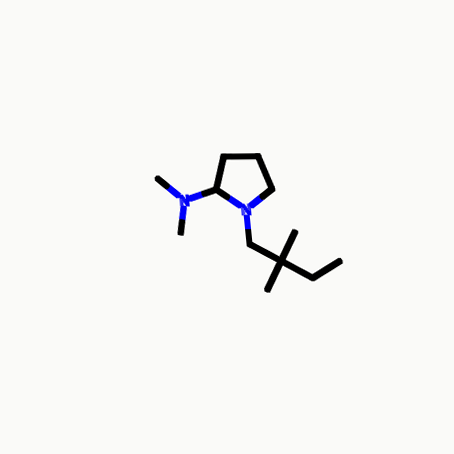 CCC(C)(C)CN1CCCC1N(C)C